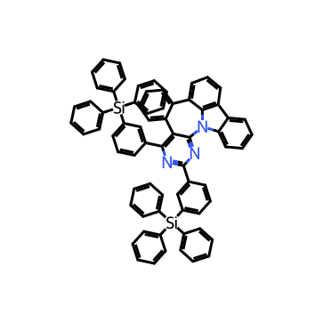 c1ccc([Si](c2ccccc2)(c2ccccc2)c2cccc(-c3nc(-c4cccc([Si](c5ccccc5)(c5ccccc5)c5ccccc5)c4)c4c(n3)-n3c5ccccc5c5cccc(c53)-c3ccccc3-4)c2)cc1